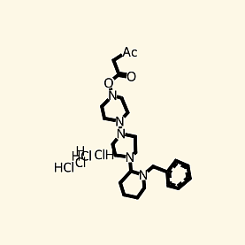 CC(=O)CC(=O)ON1CCN(N2CCN(C3CCCCN3Cc3ccccc3)CC2)CC1.Cl.Cl.Cl.Cl